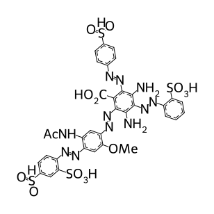 COc1cc(N=Nc2ccc([SH](=O)=O)cc2S(=O)(=O)O)c(NC(C)=O)cc1N=Nc1c(N)c(N=Nc2ccccc2S(=O)(=O)O)c(N)c(N=Nc2ccc([SH](=O)=O)cc2)c1C(=O)O